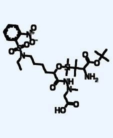 CCN(CCCCC(O[Si](C)(C)C(C)(C)C(N)C(=O)OC(C)(C)C)C(=O)NN(C)CC(=O)O)S(=O)(=O)c1ccccc1[N+](=O)[O-]